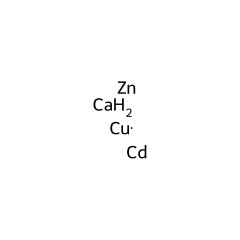 [CaH2].[Cd].[Cu].[Zn]